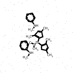 CC1=CC(C)=[C]([Zr]([C]2=C(C)C=C(C)C2)=[Si](C)C)C1.CNc1ccccc1.CNc1ccccc1